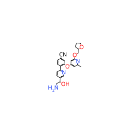 Cc1cc(Oc2cc(C#N)ccc2-c2ccc(C(O)CN)cn2)cc(OCC2CCCO2)n1